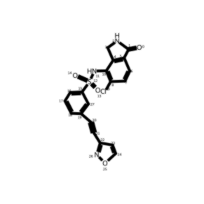 O=C1NCc2c1ccc(Cl)c2NS(=O)(=O)c1cccc(C#Cc2ccon2)c1